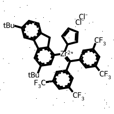 CC(C)(C)c1ccc2c(c1)-c1cc(C(C)(C)C)c[c]([Zr+2](=[C](c3cc(C(F)(F)F)cc(C(F)(F)F)c3)c3cc(C(F)(F)F)cc(C(F)(F)F)c3)[CH]3C=CC=C3)c1C2.[Cl-].[Cl-]